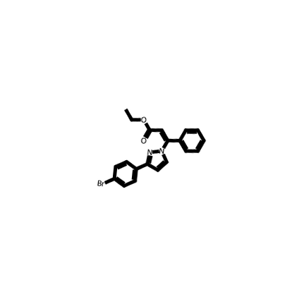 CCOC(=O)/C=C(/c1ccccc1)n1ccc(-c2ccc(Br)cc2)n1